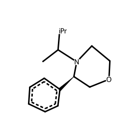 CC(C)C(C)N1CCOC[C@H]1c1ccccc1